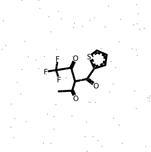 CC(=O)C(C(=O)c1cccs1)C(=O)C(F)(F)F